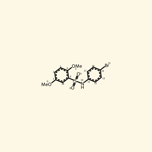 COc1ccc(OC)c(S(=O)(=O)Nc2ccc(Br)cc2)c1